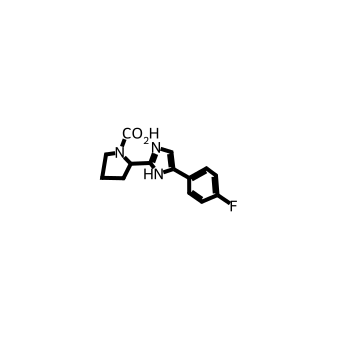 O=C(O)N1CCCC1c1ncc(-c2ccc(F)cc2)[nH]1